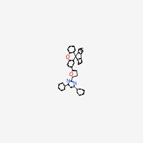 C1=C(c2ccc3c(c2)C2(c4ccccc4O3)c3ccccc3-c3ccccc32)OC(c2nc(-c3ccccc3)cc(-c3ccccc3)n2)C1